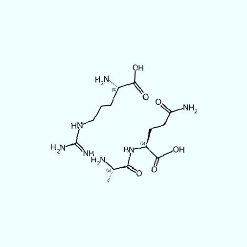 C[C@H](N)C(=O)N[C@@H](CCC(N)=O)C(=O)O.N=C(N)NCCC[C@H](N)C(=O)O